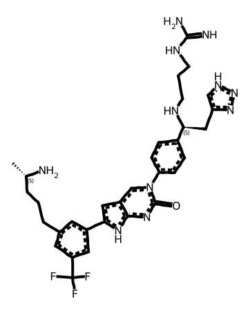 C[C@H](N)CCCc1cc(-c2cc3cn(-c4ccc([C@H](Cc5c[nH]nn5)NCCCNC(=N)N)cc4)c(=O)nc3[nH]2)cc(C(F)(F)F)c1